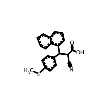 CSc1ccc(C(c2cccc3ccccc23)C(C#N)C(=O)O)cc1